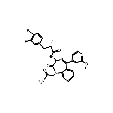 COc1cc(C2=NC(NC(=O)[C@@H](C)Cc3ccc(F)c(F)c3)C(=O)N(CC(N)=O)c3ccccc32)ccn1